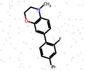 CC(C)c1ccc(-c2ccc3c(c2)OCCN3C)c(F)c1